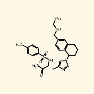 Cc1ccc(S(=O)(=O)N[C@H](Cc2cn(C3CCCc4cc(CNCC(C)(C)C)ccc43)nn2)C(N)=O)cc1